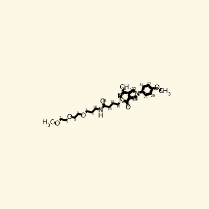 COCCOCCOCCCNC(=O)CCCn1nc(C)c2cn(-c3ccc(OC)cc3)nc2c1=O